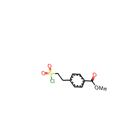 COC(=O)c1ccc(CCS(=O)(=O)Cl)cc1